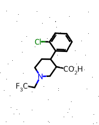 O=C(O)C1CN(CC(F)(F)F)CCC1c1ccccc1Cl